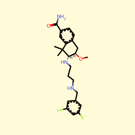 CO[C@@H]1Cc2ccc(C(N)=O)cc2C(C)(C)[C@H]1NCCCNCc1cc(F)cc(F)c1